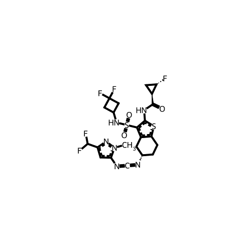 Cn1nc(C(F)F)cc1N=C=N[C@H]1CCc2sc(NC(=O)[C@H]3C[C@@H]3F)c(S(=O)(=O)NC3CC(F)(F)C3)c2C1